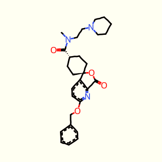 CN(CCN1CCCCC1)C(=O)[C@H]1CC[C@@]2(CC1)OC(=O)c1nc(OCc3ccccc3)ccc12